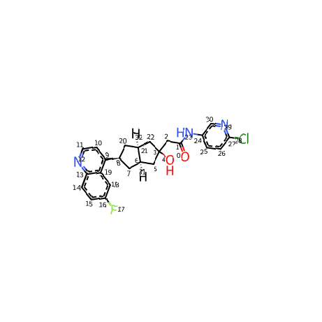 O=C(CC1(O)C[C@H]2C[C@@H](c3ccnc4ccc(F)cc34)C[C@H]2C1)Nc1ccc(Cl)nc1